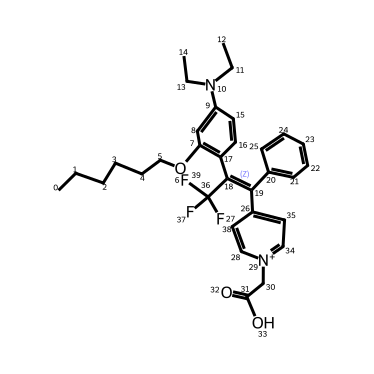 CCCCCCOc1cc(N(CC)CC)ccc1/C(=C(\c1ccccc1)c1cc[n+](CC(=O)O)cc1)C(F)(F)F